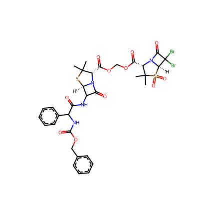 CC1(C)S[C@@H]2C(NC(=O)C(NC(=O)OCc3ccccc3)c3ccccc3)C(=O)N2[C@H]1C(=O)OCOC(=O)[C@@H]1N2C(=O)C(Br)(Br)[C@H]2S(=O)(=O)C1(C)C